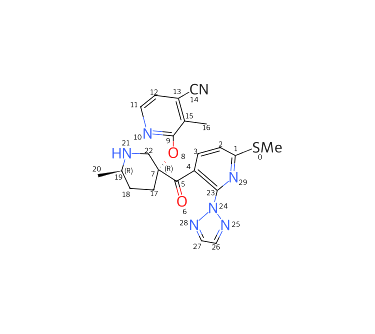 CSc1ccc(C(=O)[C@@]2(Oc3nccc(C#N)c3C)CC[C@@H](C)NC2)c(-n2nccn2)n1